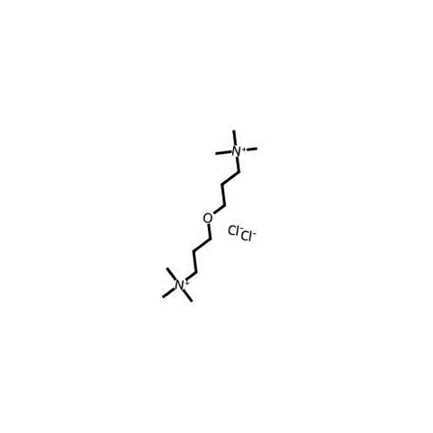 C[N+](C)(C)CCCOCCC[N+](C)(C)C.[Cl-].[Cl-]